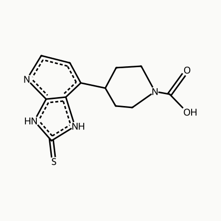 O=C(O)N1CCC(c2ccnc3[nH]c(=S)[nH]c23)CC1